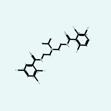 CC(C)N(CCOC(=O)c1cc(I)cc(I)c1I)CCOC(=O)c1c(I)ccc(I)c1I